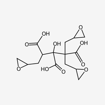 O=C(O)C(CC1CO1)C(O)(C(=O)O)C(CC1CO1)(CC1CO1)C(=O)O